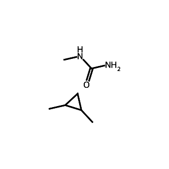 CC1CC1C.CNC(N)=O